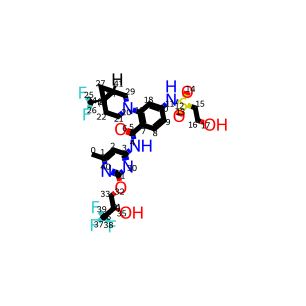 Cc1cc(NC(=O)c2ccc(NS(=O)(=O)CCO)cc2N2CC[C@]3(C(F)F)C[C@@H]3C2)nc(OC[C@@H](O)C(F)(F)F)n1